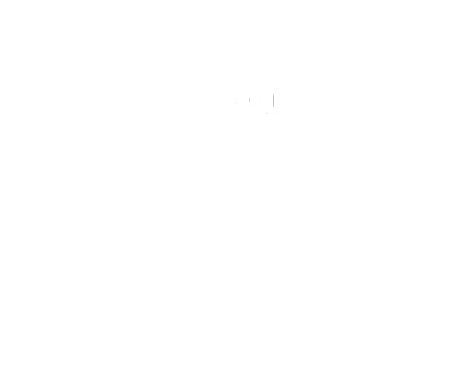 CC(=CC1CCCCCCC1)C(=O)O